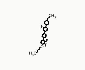 CCCCCOc1ccc(-c2ccc(-c3ccc(C4CCC(CCC)CC4)c(F)c3)cc2)c(F)c1F